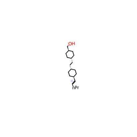 CCC/C=C/[C@H]1CC[C@H](CC[C@H]2CC[C@H](CO)CC2)CC1